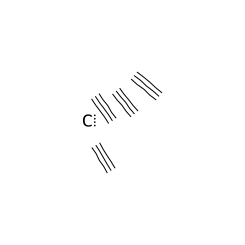 C#C.C#C.C#C.C#C.[C]